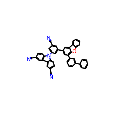 N#Cc1cc(-c2cc(-c3cccc(-c4ccccc4)c3)c3oc4ccccc4c3c2)cc(-n2c3ccc(C#N)cc3c3cc(C#N)ccc32)c1